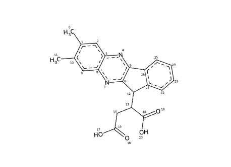 Cc1cc2nc3c(nc2cc1C)C(C(CC(=O)O)C(=O)O)c1ccccc1-3